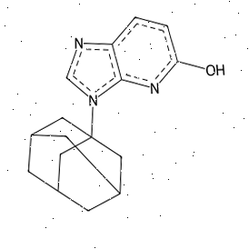 Oc1ccc2ncn(C34CC5CC(CC(C5)C3)C4)c2n1